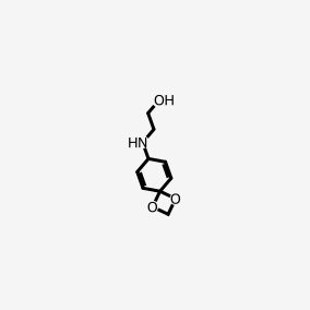 OCCNC1C=CC2(C=C1)OCO2